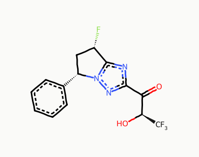 O=C(c1nc2n(n1)[C@H](c1ccccc1)C[C@@H]2F)[C@H](O)C(F)(F)F